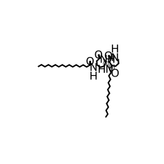 CCCCCCCCCCCCCCCC(=O)NC1CC[C@@H](C2C(=O)NCCC[C@H]2NC(=O)CCCCCCCCCCCCC)NC(=O)C1